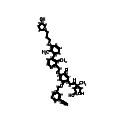 Cc1c(OCCCN2CC[C@H](O)C2)cccc1-c1ccnc(COc2cc(OCc3cncc(C#N)c3)c(CN[C@@](C)(CO)CCO)cc2Cl)c1C